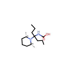 CCCC(CCC)(NC(=O)O)N1[C@H](C)CCC[C@@H]1C